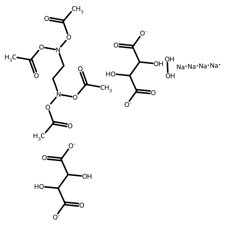 CC(=O)ON(CCN(OC(C)=O)OC(C)=O)OC(C)=O.O=C([O-])C(O)C(O)C(=O)[O-].O=C([O-])C(O)C(O)C(=O)[O-].OO.[Na+].[Na+].[Na+].[Na+]